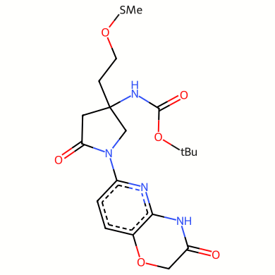 CSOCCC1(NC(=O)OC(C)(C)C)CC(=O)N(c2ccc3c(n2)NC(=O)CO3)C1